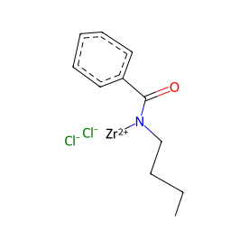 CCCC[N]([Zr+2])C(=O)c1ccccc1.[Cl-].[Cl-]